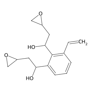 C=Cc1cccc(C(O)CC2CO2)c1C(O)CC1CO1